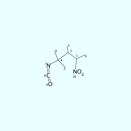 CC(C(C)C(C)(C)N=C=O)[N+](=O)[O-]